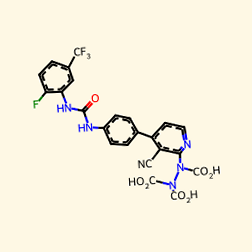 N#Cc1c(-c2ccc(NC(=O)Nc3cc(C(F)(F)F)ccc3F)cc2)ccnc1N(C(=O)O)N(C(=O)O)C(=O)O